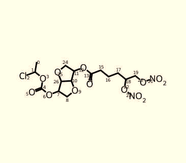 CC(Cl)OC(=O)OC1COC2C(OC(=O)CCCC(CO[N+](=O)[O-])O[N+](=O)[O-])COC12